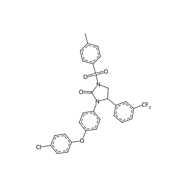 Cc1ccc(S(=O)(=O)N2CC(c3cccc(C(F)(F)F)c3)N(c3ccc(Oc4ccc(Cl)cc4)cc3)C2=O)cc1